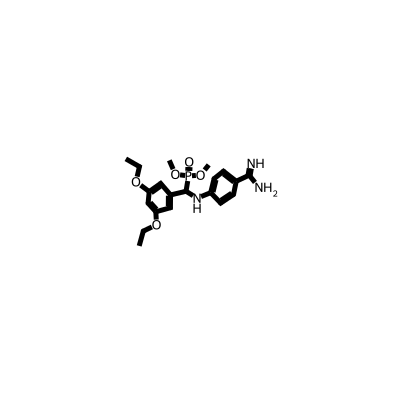 CCOc1cc(OCC)cc(C(Nc2ccc(C(=N)N)cc2)P(=O)(OC)OC)c1